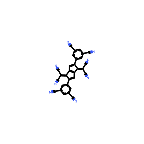 N#CC(C#N)=C1C(c2cc(C#N)cc(C#N)c2)=CC2=C1C=C(c1cc(C#N)cc(C#N)c1)C2=C(C#N)C#N